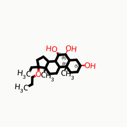 CCCOC1(CC)CCC2C3C(CC[C@@]21C)[C@@]1(C)CC[C@H](O)CC1[C@@H](O)[C@@H]3O